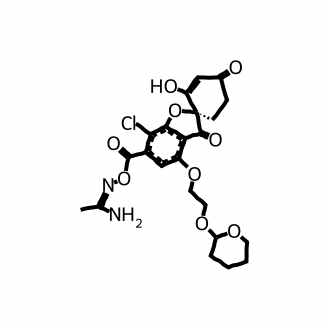 C/C(N)=N/OC(=O)c1cc(OCCOC2CCCCO2)c2c(c1Cl)O[C@]1(CCC(=O)C=C1O)C2=O